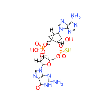 Nc1nc2c(ncn2[C@@H]2O[C@@]34CO[C@@H]2[C@@H]3OP(=O)(O)OC[C@@]23C[C@@H]2[C@@H](n2cnc5c(N)ncnc52)[C@H](O)[C@@H]3O[P@@](=O)(S)OC4)c(=O)[nH]1